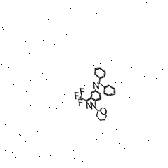 FC(F)(F)c1nn(C2CCCCO2)c2ccc(N=C(c3ccccc3)c3ccccc3)cc12